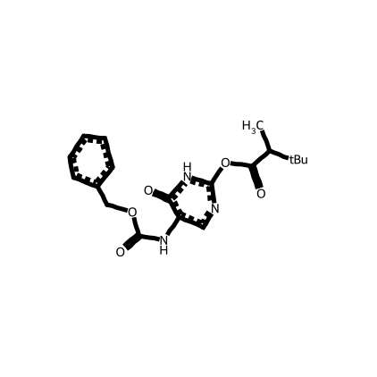 CC(C(=O)Oc1ncc(NC(=O)OCc2ccccc2)c(=O)[nH]1)C(C)(C)C